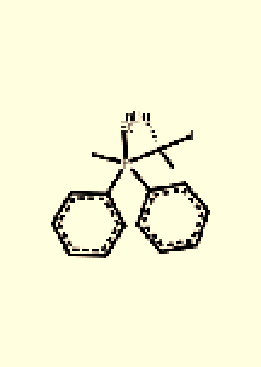 CCCC[C@@](C)(I)P(C)(CC)(c1ccccc1)c1ccccc1